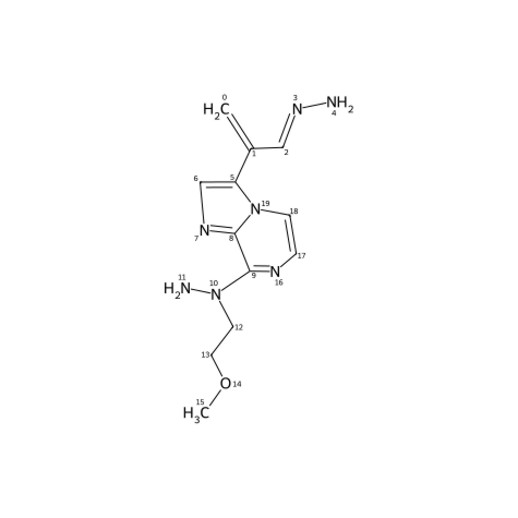 C=C(C=NN)c1cnc2c(N(N)CCOC)nccn12